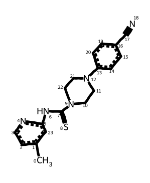 Cc1ccnc(NC(=S)N2CCN(c3ccc(C#N)cc3)CC2)c1